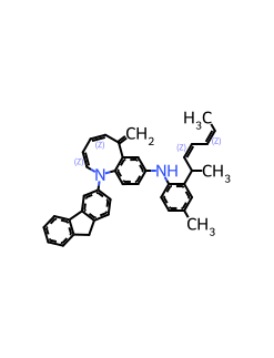 C=C1/C=C\C=C/N(c2ccc3c(c2)-c2ccccc2C3)c2ccc(Nc3ccc(C)cc3C(C)/C=C\C=C/C)cc21